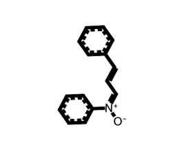 [O-]/[N+](=C/C=Cc1ccccc1)c1ccccc1